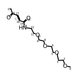 COCCOCCOCCOCCNC(=O)/C=C/C(C)=O